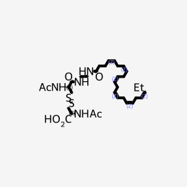 CC/C=C\C/C=C\C/C=C\C/C=C\C/C=C\C/C=C\CCC(=O)NCCNC(=O)[C@H](CSSC[C@H](NC(C)=O)C(=O)O)NC(C)=O